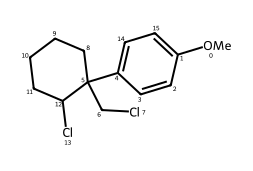 COc1ccc(C2(CCl)CCCCC2Cl)cc1